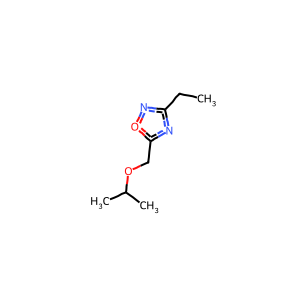 CCc1noc(COC(C)C)n1